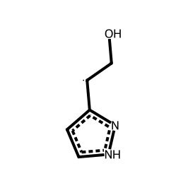 OC[CH]c1cc[nH]n1